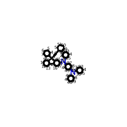 C(#CC1(c2ccccc2)c2ccccc2-c2ccc(N(c3ccccc3)c3ccc(N(c4ccccc4)c4ccccc4)cc3)cc21)C1C=CC=CC1